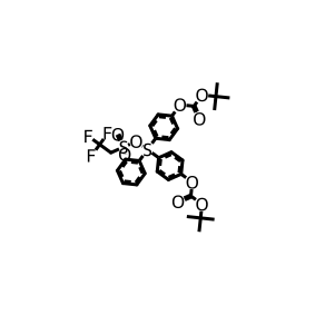 CC(C)(C)OC(=O)Oc1ccc(S(OS(=O)(=O)CC(F)(F)F)(c2ccccc2)c2ccc(OC(=O)OC(C)(C)C)cc2)cc1